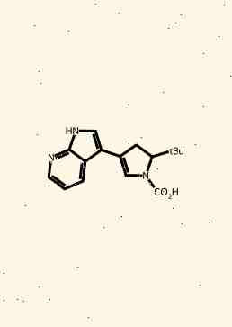 CC(C)(C)C1CC(c2c[nH]c3ncccc23)=CN1C(=O)O